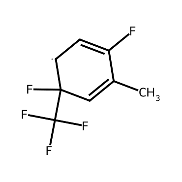 CC1=CC(F)(C(F)(F)F)[CH]C=C1F